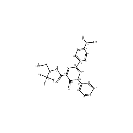 O=C(NC(CO)C(F)(F)F)c1cc(-c2ccc(C(F)F)cc2)nn(-c2cccnc2)c1=O